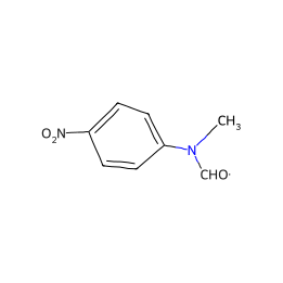 CN([C]=O)c1ccc([N+](=O)[O-])cc1